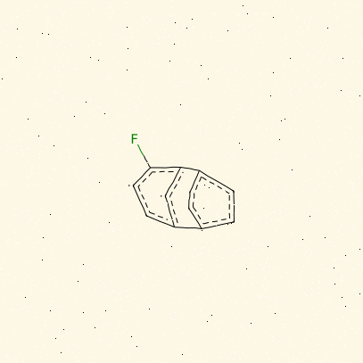 Fc1[c]cc2[c]c1-c1ccc-2cc1